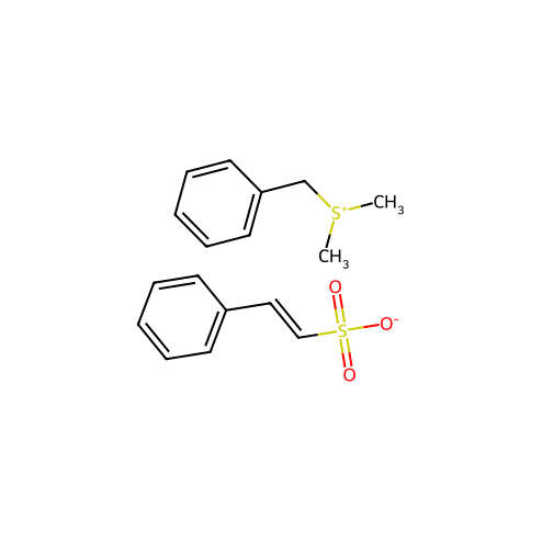 C[S+](C)Cc1ccccc1.O=S(=O)([O-])C=Cc1ccccc1